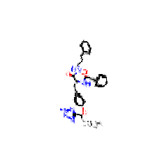 O=C(N[C@@H](Cc1ccc(OC(C(=O)O)c2nn[nH]n2)cc1)C(=O)NCCCc1ccccc1)c1ccccc1